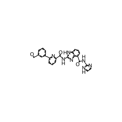 O=Cc1cccc(-c2cccc(C(=O)Nc3nc4c(C(=O)Nc5ncc[nH]5)cccc4[nH]3)n2)c1